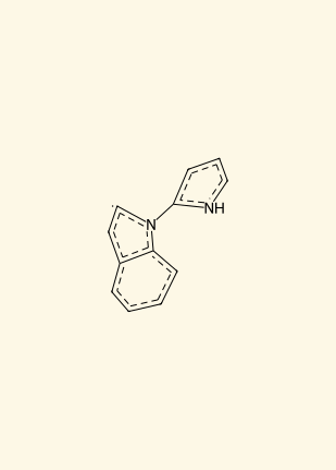 [c]1cc2ccccc2n1-c1ccc[nH]1